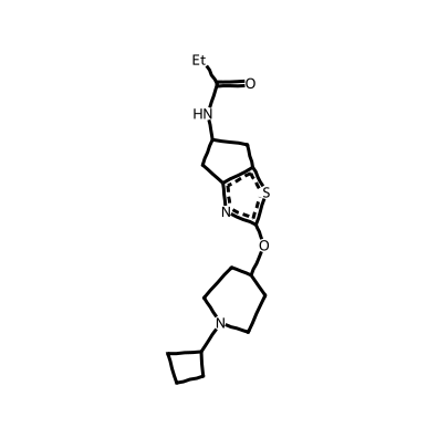 CCC(=O)NC1Cc2nc(OC3CCN(C4CCC4)CC3)sc2C1